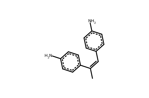 CC(=Cc1ccc(N)cc1)c1ccc(N)cc1